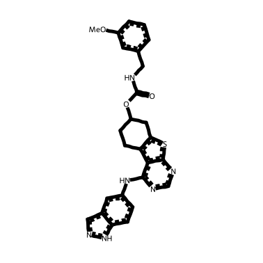 COc1cccc(CNC(=O)OC2CCc3c(sc4ncnc(Nc5ccc6[nH]ncc6c5)c34)C2)c1